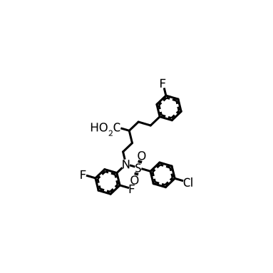 O=C(O)C(CCc1cccc(F)c1)CCN(c1cc(F)ccc1F)S(=O)(=O)c1ccc(Cl)cc1